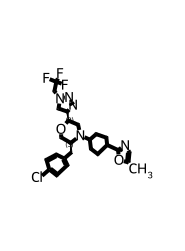 Cc1cnc(C2CCC(N3C[C@H](C4CN(CC(F)(F)F)N=N4)OC[C@@H]3Cc3ccc(Cl)cc3)CC2)o1